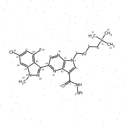 CCCNC(=O)c1cn(COCC[Si](C)(C)C)c2ncc(-c3nn(C)c4cc(Cl)cc(F)c34)nc12